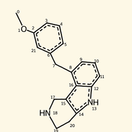 COc1cccc(Cc2cccc3[nH]c4c(c23)CNCC4)c1